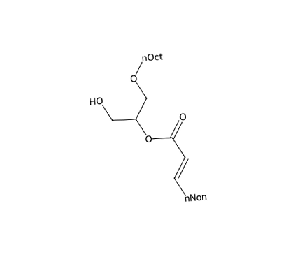 CCCCCCCCCC=CC(=O)OC(CO)COCCCCCCCC